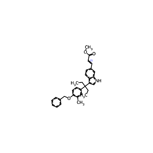 CCC(CC)(c1ccc(OCc2ccccc2)c(C)c1)c1c[nH]c2cc(/C=C/C(=O)OC)ccc12